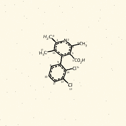 Cc1nc(C)c(C(=O)O)c(-c2cccc(Cl)c2Cl)c1C